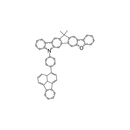 CC1(C)c2cc3c(cc2-c2cc4c(cc21)c1ccccc1n4-c1ccc(C2=CC=C4c5ccccc5C5=CC=CC2C54)cc1)oc1ccccc13